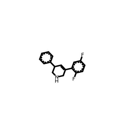 Fc1ccc(F)c(C2=CC(c3ccccc3)CNC2)c1